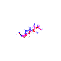 COc1ccc(NC(=O)[C@H](N)CCCNC(=N)N)cc1C(=O)N[C@H](CCCNC(=N)N)C(=O)Nc1ccc(OC)c(C(=O)N[C@H](CCCNC(=N)N)C(=O)Nc2ccc(OCCNC(=N)N)c(C(=O)N[C@H](CCCNC(=N)N)C(=O)Nc3ccc(OCCNC(=N)N)c(C(N)=O)c3)c2)c1